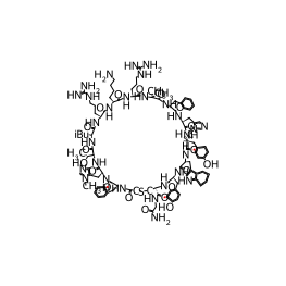 CC[C@H](C)[C@@H]1NC(=O)[C@H]([C@@H](C)O)NC(=O)[C@H](Cc2cncn2C)NC(=O)[C@H](Cc2ccccc2)NC(=O)CSC[C@@H](C(=O)NCC(N)=O)NC(=O)[C@H](Cc2ccc(O)cc2)NC(=O)[C@H](Cc2c[nH]c3ccccc23)NC(=O)[C@H](Cc2ccc(O)cc2)NC(=O)[C@H](Cc2cncn2C)NC(=O)[C@H](Cc2ccccc2)NC(=O)C(C)(C)NC(=O)[C@H](CCCNC(=N)N)NC(=O)[C@H](CCCCN)NC(=O)[C@H](CCCNC(=N)N)NC1=O